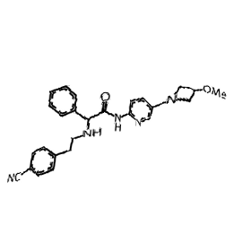 COC1CN(c2ccc(NC(=O)C(NCCc3ccc(C#N)cc3)c3ccccc3)nc2)C1